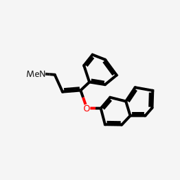 CNCC=C(Oc1ccc2ccccc2c1)c1ccccc1